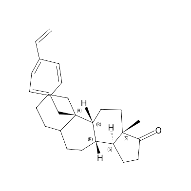 C=Cc1ccc(C[C@]23CCCCC2CC[C@@H]2[C@H]3CC[C@]3(C)C(=O)CC[C@@H]23)cc1